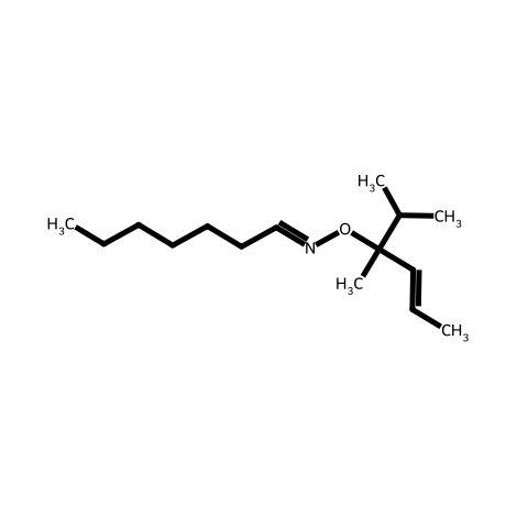 CC=CC(C)(ON=CCCCCCC)C(C)C